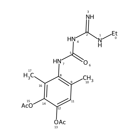 CCNC(=N)NC(=O)Nc1c(C)cc(OC(C)=O)c(OC(C)=O)c1C